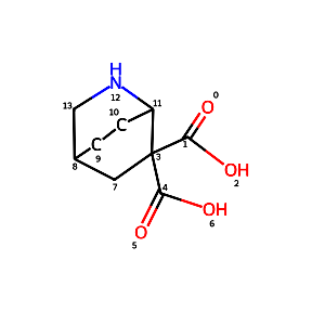 O=C(O)C1(C(=O)O)CC2CCC1NC2